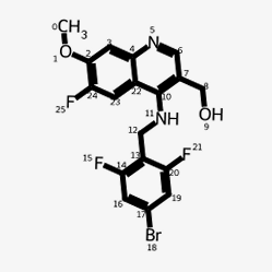 COc1cc2ncc(CO)c(NCc3c(F)cc(Br)cc3F)c2cc1F